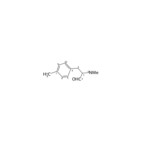 CNC(C=O)Cc1ccc(C)cc1